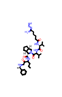 CCCC(NC(=O)[C@@H]1[C@H]2CCC[C@H]2CN1C(=O)[C@@H](NC(=O)[C@H](NC(=O)CCCC/C(N)=N/N=N)C(C)C)C(C)C)C(=O)CN[C@H](C)c1ccccc1